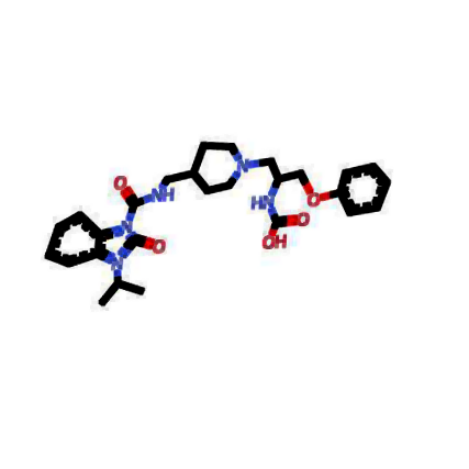 CC(C)n1c(=O)n(C(=O)NCC2CCN(CC(COc3ccccc3)NC(=O)O)CC2)c2ccccc21